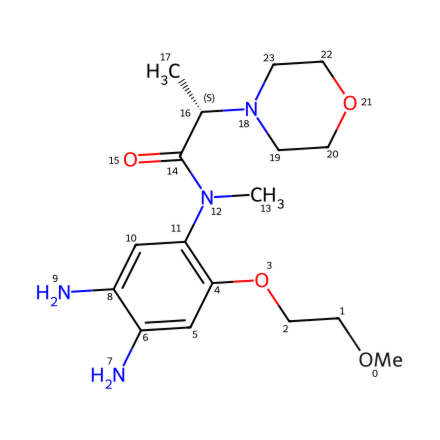 COCCOc1cc(N)c(N)cc1N(C)C(=O)[C@H](C)N1CCOCC1